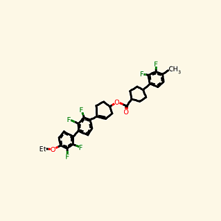 CCOc1ccc(-c2ccc(C3=CCC(OC(=O)C4CCC(c5ccc(C)c(F)c5F)CC4)CC3)c(F)c2F)c(F)c1F